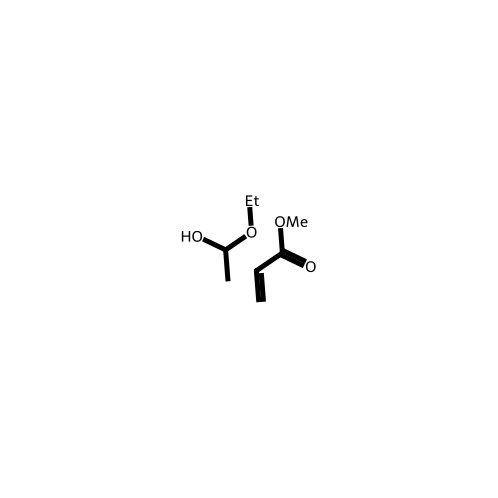 C=CC(=O)OC.CCOC(C)O